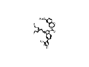 COc1ccc2c(c1)C[C@H](C(=O)c1cn(CCN(CCF)CCF)c3cc(-c4c[nH]nc4Cl)ccc13)CO2